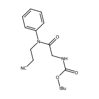 CC(C)(C)OC(=O)NCC(=O)N(CCC#N)c1ccccc1